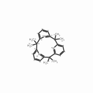 CC1(C)c2cccc(n2)C(C)(C)c2cccc(n2)C(C)(C)c2cccc1n2